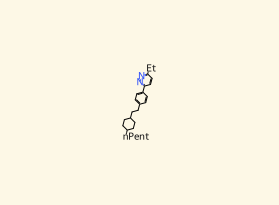 CCCCCC1CCC(CCc2ccc(-c3ccc(CC)nn3)cc2)CC1